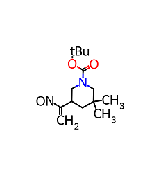 C=C(N=O)C1CN(C(=O)OC(C)(C)C)CC(C)(C)C1